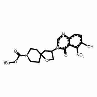 CC(C)(C)OC(=O)N1CCC2(CC1)CC(n1cnc3ccc(O)c([N+](=O)[O-])c3c1=O)CO2